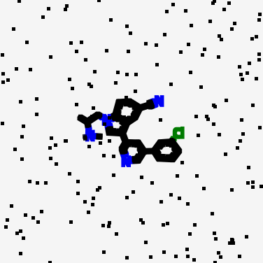 CC(Cn1cc(-c2cncc(-c3cccc(Cl)c3)c2)c2cc(C#N)ccc21)N(C)C